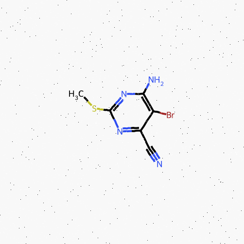 CSc1nc(N)c(Br)c(C#N)n1